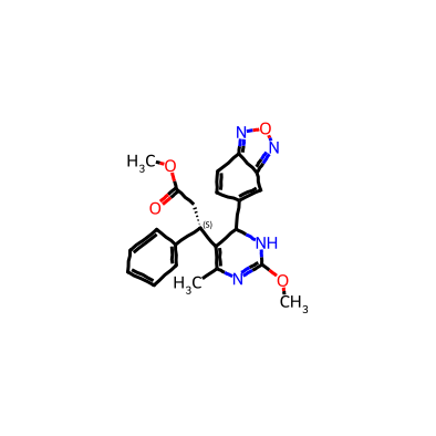 COC(=O)C[C@H](C1=C(C)N=C(OC)NC1c1ccc2nonc2c1)c1ccccc1